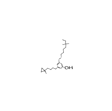 CCC(C)(C)CCCCCCc1cc(O)cc(CCCCC2(C)CC2)c1